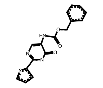 O=C(NC1=CN=C(c2cccs2)[N]C1=O)OCc1ccccc1